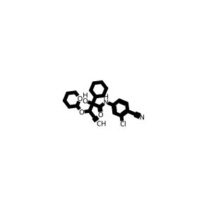 C#CC(OC1CCCCO1)C(O)(C(=O)Nc1ccc(C#N)c(Cl)c1)C1CCCCC1